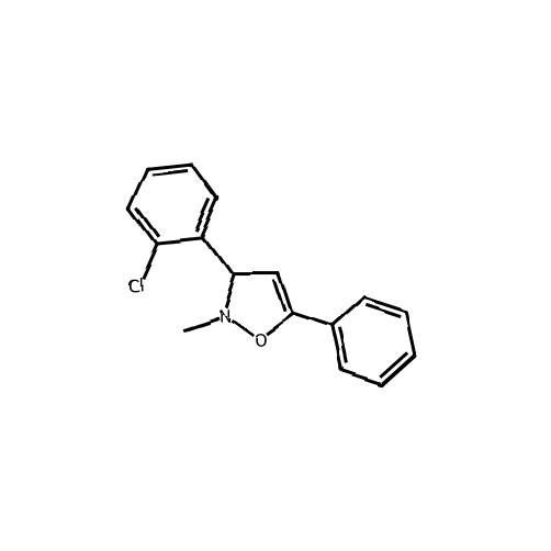 CN1OC(c2ccccc2)=CC1c1ccccc1Cl